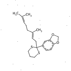 CC(C)=CCC/C(C)=C/CC1(c2ccc3c(c2)OCO3)SCCCS1